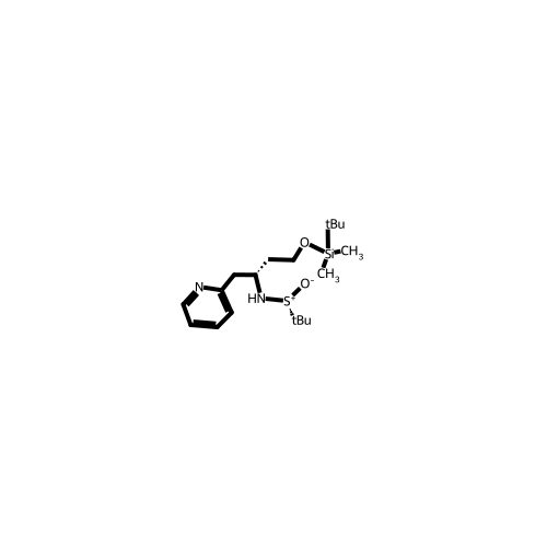 CC(C)(C)[S@@+]([O-])N[C@@H](CCO[Si](C)(C)C(C)(C)C)Cc1ccccn1